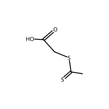 CC(=S)SCC(=O)O